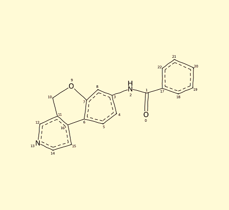 O=C(Nc1ccc2c(c1)OCc1cnccc1-2)c1ccccc1